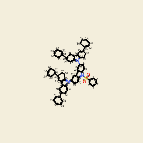 O=S(=O)(c1ccccc1)n1c2ccc(-n3c4c(c5cc(-c6ccccc6)ccc53)C=C(C3=CC=CCC3)CC4)cc2c2cc(-n3c4c(c5cc(-c6ccccc6)ccc53)C=C(c3ccccc3)CC4)ccc21